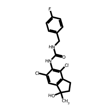 CC1(O)CCc2c1cc(Cl)c(NC(=O)NCc1ccc(F)cc1)c2Cl